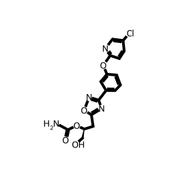 NC(=O)O[C@H](CO)Cc1nc(-c2cccc(Oc3ccc(Cl)cn3)c2)no1